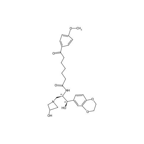 COc1ccc(C(=O)CCCCCC(=O)N[C@H](CN2CC(O)C2)[C@H](O)c2ccc3c(c2)OCCO3)cc1